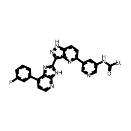 CCC(=O)Nc1cncc(-c2ccc3[nH]nc(-c4nc5c(-c6cccc(F)c6)ccnc5[nH]4)c3n2)c1